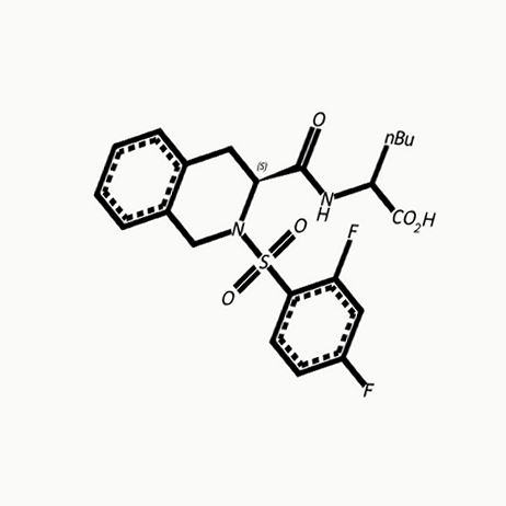 CCCCC(NC(=O)[C@@H]1Cc2ccccc2CN1S(=O)(=O)c1ccc(F)cc1F)C(=O)O